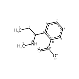 CCC(NC)c1ccccc1[N+](=O)[O-]